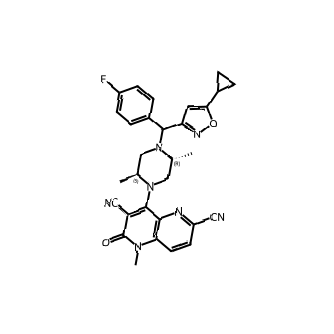 C[C@@H]1CN(c2c(C#N)c(=O)n(C)c3ccc(C#N)nc23)[C@@H](C)CN1C(c1ccc(F)cc1)c1cc(C2CC2)on1